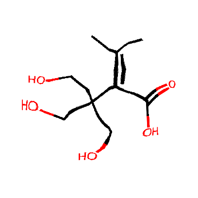 CC(C)=C(C(=O)O)C(CO)(CO)CO